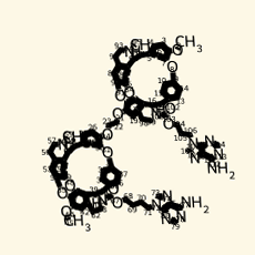 COc1ccc2cc1Oc1ccc(cc1)C[C@H]1c3c(cc(OCCOc4ccc5cc4Oc4ccc(cc4)C[C@H]4c6c(cc(OC)c7c6Oc6cc8c(cc6O7)CCN(C)[C@H]8C5)CCN4C(=O)OCCCCn4cnc5c(N)ncnc54)c4c3Oc3cc5c(cc3O4)CCN(C)[C@H]5C2)CCN1C(=O)OCCCn1cnc2c(N)ncnc21